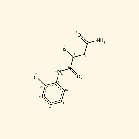 NC(=O)CN(S)C(=O)Nc1ccccc1Cl